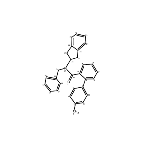 Cc1ccc(-c2ccccc2C(=O)N(Cc2ccccc2)C2Cc3ccccc3C2)cc1